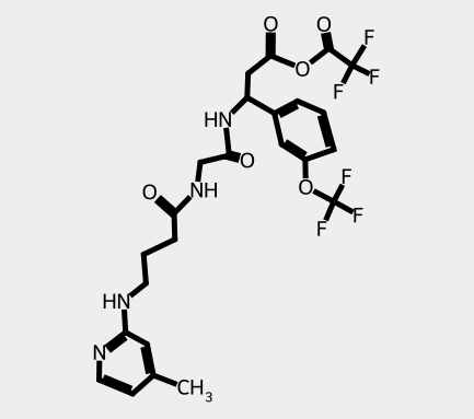 Cc1ccnc(NCCCC(=O)NCC(=O)NC(CC(=O)OC(=O)C(F)(F)F)c2cccc(OC(F)(F)F)c2)c1